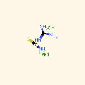 Cl.Cl.Cl.N=C(N)N.N=C=S